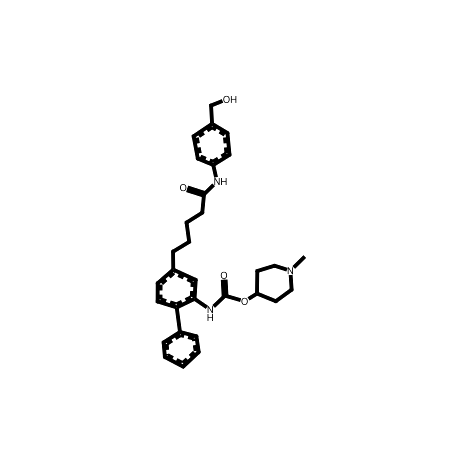 CN1CCC(OC(=O)Nc2cc(CCCCC(=O)Nc3ccc(CO)cc3)ccc2-c2ccccc2)CC1